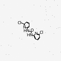 O=C(Nc1cccc(Cl)n1)Nc1cccc(Cl)n1